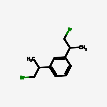 CC(CBr)c1cccc(C(C)CBr)c1